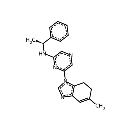 CC1=Cc2ncn(-c3cncc(N[C@@H](C)c4ccccc4)n3)c2CC1